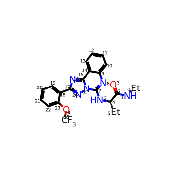 CCNC(=O)[C@@H](CC)Nc1nc2ccccc2c2nc(-c3ccccc3OC(F)(F)F)nn12